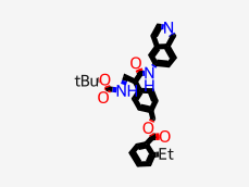 CCc1ccccc1C(=O)OCc1ccc(C(CNC(=O)OC(C)(C)C)C(=O)Nc2ccc3cnccc3c2)cc1